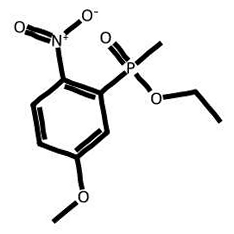 CCOP(C)(=O)c1cc(OC)ccc1[N+](=O)[O-]